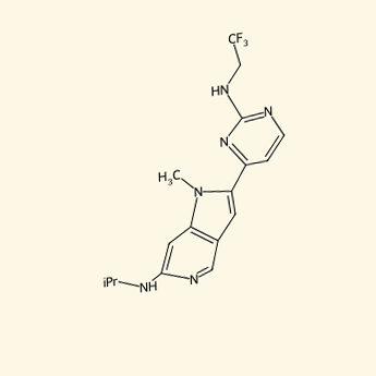 CC(C)Nc1cc2c(cn1)cc(-c1ccnc(NCC(F)(F)F)n1)n2C